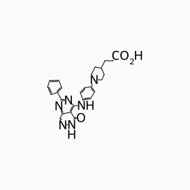 O=C(O)CCC1CCN(c2ccc(Nc3nc(-c4ccccc4)nc4cn[nH]c(=O)c34)cc2)CC1